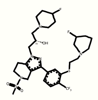 CS(=O)(=O)N1CCc2c(c(-c3ccc(C(F)(F)F)c(SCCN4CCCC(F)C4)c3)nn2C[C@@H](O)CN2CCC(F)CC2)C1